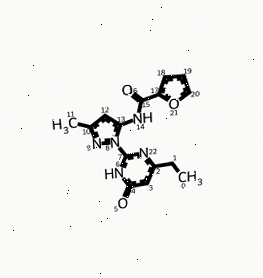 CCc1cc(=O)[nH]c(-n2nc(C)cc2NC(=O)c2ccco2)n1